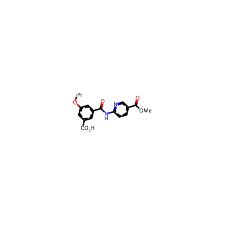 COC(=O)c1ccc(NC(=O)c2cc(OC(C)C)cc(C(=O)O)c2)nc1